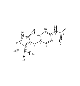 CC(=O)Nc1ccc(CC2=C(C(F)(F)F)N=NC2=O)cc1